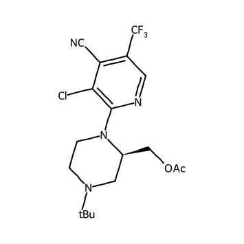 CC(=O)OC[C@H]1CN(C(C)(C)C)CCN1c1ncc(C(F)(F)F)c(C#N)c1Cl